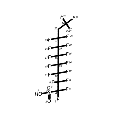 O=S(=O)(O)C(F)(F)C(F)(F)C(F)(F)C(F)(F)C(F)(F)C(F)(F)C(F)(F)CC(F)(F)F